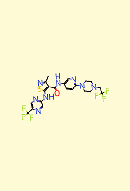 Cc1nsc(Nc2cnc(C(F)(F)F)cn2)c1C(=O)Nc1ccc(N2CCN(CC(F)(F)F)CC2)nc1